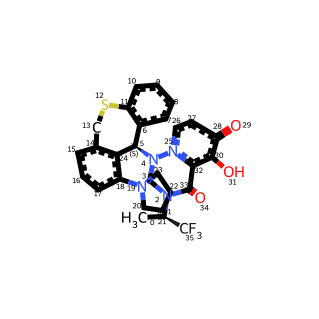 C[C@@H](N1CN([C@@H]2c3ccccc3SCc3cccc(N4CCCC4)c32)n2ccc(=O)c(O)c2C1=O)C(F)(F)F